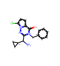 NC(c1nn2c(Cl)ccc2c(=O)n1Cc1ccccc1)C1CC1